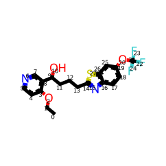 CCOc1ccncc1C(O)CCCc1nc2ccc(OC(F)(F)F)cc2s1